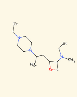 CC(C)CN1CCN(C(C)CC2OCC2N(C)CC(C)C)CC1